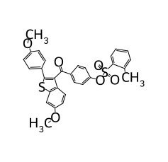 COc1ccc(-c2sc3cc(OC)ccc3c2C(=O)c2ccc(OS(=O)(=O)c3ccccc3C)cc2)cc1